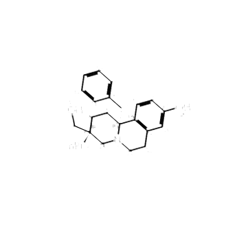 CCC[C@@]1(CO)CC[C@@]2(Cc3ccccc3)c3ccc(O)cc3CCN2C1